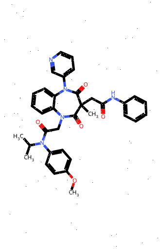 COc1ccc(N(C(=O)CN2C(=O)C(C)(CC(=O)Nc3ccccc3)C(=O)N(c3cccnc3)c3ccccc32)C(C)C)cc1